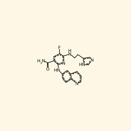 NC(=O)c1cc(F)c(NCCc2cnc[nH]2)nc1Nc1ccc2ncccc2c1